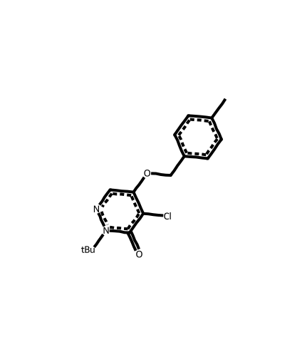 Cc1ccc(COc2cnn(C(C)(C)C)c(=O)c2Cl)cc1